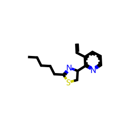 C=Cc1cccnc1C1CSC(CCCCC)=N1